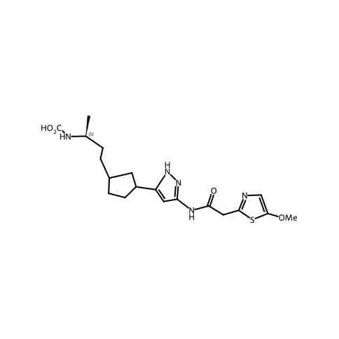 COc1cnc(CC(=O)Nc2cc(C3CCC(CC[C@H](C)NC(=O)O)C3)[nH]n2)s1